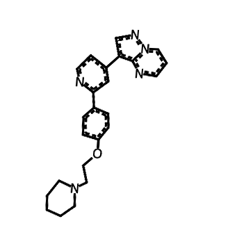 c1cnc2c(-c3ccnc(-c4ccc(OCCN5CCCCC5)cc4)c3)cnn2c1